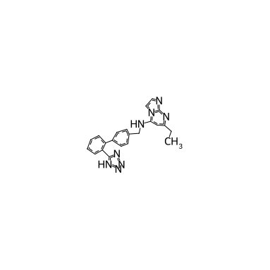 CCc1cc(NCc2ccc(-c3ccccc3-c3nnn[nH]3)cc2)n2ccnc2n1